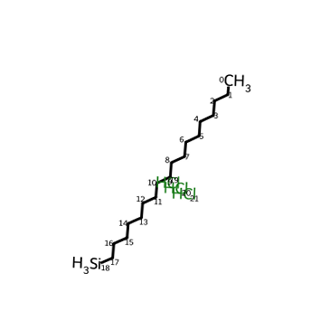 CCCCCCCCCCCCCCCCCC[SiH3].Cl.Cl.Cl